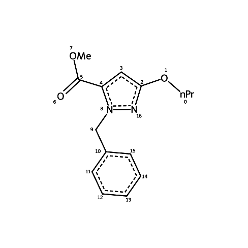 CCCOc1cc(C(=O)OC)n(Cc2ccccc2)n1